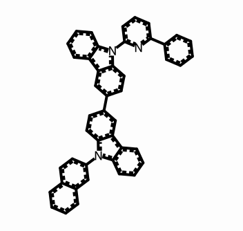 c1ccc(-c2cccc(-n3c4ccccc4c4cc(-c5ccc6c(c5)c5ccccc5n6-c5ccc6ccccc6c5)ccc43)n2)cc1